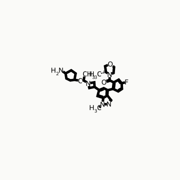 CC(CC1CCC(N)CC1)N1CC(c2cc(-c3ccc(F)cc3C(=O)N3CCOC[C@H]3C)c3cnn(C)c3c2)C1